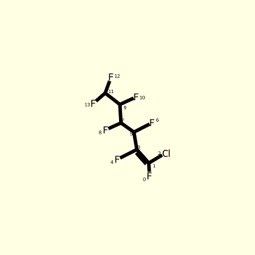 FC(Cl)=C(F)C(F)C(F)C(F)C(F)F